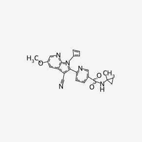 COc1cnc2c(c1)c(C#N)c(-c1ccc(S(=O)(=O)NC3(C)CC3)cn1)n2C1=CC=C1